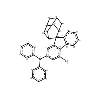 Clc1cc(N(c2ccccc2)c2ccccc2)cc2c1-c1ccccc1C21C2CC3CC(C2)CC1C3